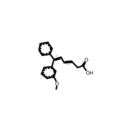 COc1cccc(/C(=C\C=C\CC(=O)O)c2ccccc2)c1